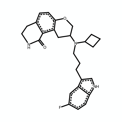 O=C1NCCc2ccc3c(c21)CC(N(CCCc1c[nH]c2ccc(F)cc12)C1CCC1)CO3